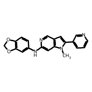 Cn1c(-c2cccnc2)cc2cnc(Nc3ccc4c(c3)OCO4)cc21